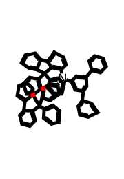 c1ccc(-c2cc(-c3ccccc3)cc(N(c3ccc(C4(c5ccccc5)c5ccccc5-c5ccccc54)cc3)c3cccc4c3C(c3ccccc3)(c3ccccc3)c3ccccc3-4)c2)cc1